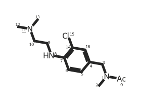 CC(=O)N(C)Cc1ccc(NCCN(C)C)c(Cl)c1